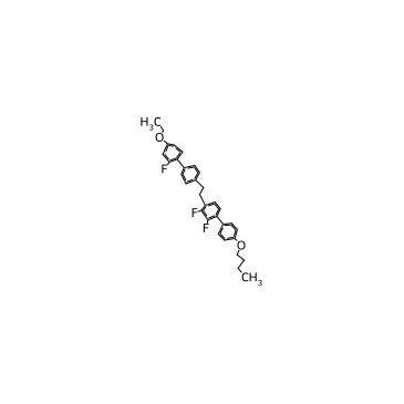 CCCCOc1ccc(-c2ccc(CCc3ccc(-c4ccc(OCC)cc4F)cc3)c(F)c2F)cc1